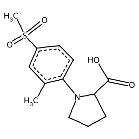 Cc1cc(S(C)(=O)=O)ccc1N1CCCC1C(=O)O